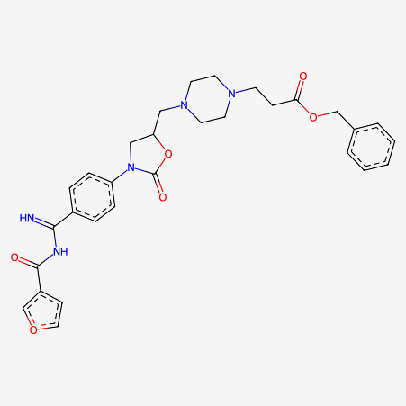 N=C(NC(=O)c1ccoc1)c1ccc(N2CC(CN3CCN(CCC(=O)OCc4ccccc4)CC3)OC2=O)cc1